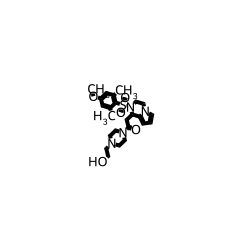 COc1cc(C)c(S(=O)(=O)N2CCn3cccc3C2CC(=O)N2CCN(CCO)CC2)c(C)c1